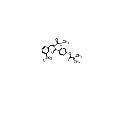 COC(=O)/C(=C/c1cccc([N+](=O)[O-])c1)C(=O)c1ccc(OC(=O)N(C)C)cc1